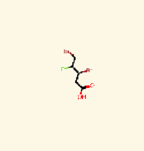 O=C(O)CC(Br)C(F)CBr